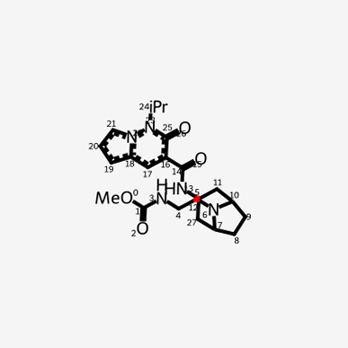 COC(=O)NCCN1C2CCC1CC(NC(=O)c1cc3cccn3n(C(C)C)c1=O)C2